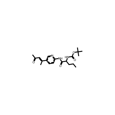 CCCC(NC(=O)OC(C)(C)C)C(=O)Nc1ccc(/C(C)=C/C(C)=O)cn1